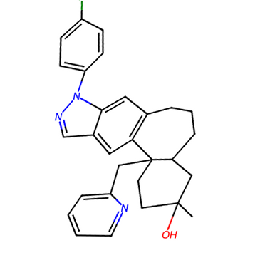 CC1(O)CCC2(Cc3ccccn3)c3cc4cnn(-c5ccc(F)cc5)c4cc3CCCC2C1